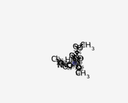 CCOC(=O)[C@H]1C[C@@H](n2c(=O)[nH]/c(=N\c3ccc(Oc4ccc(Cl)cn4)cc3)n(Cc3ccc(C)cc3)c2=O)C1